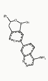 CC(C)C1Cc2ccc(-c3ccc4c(N)cnnc4c3)cc2B(O)O1